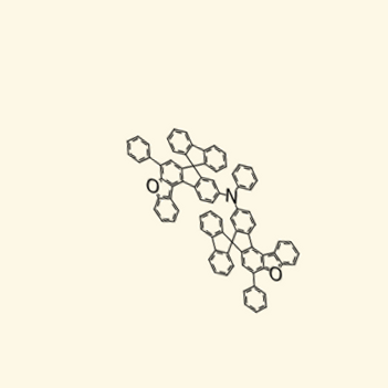 c1ccc(-c2cc3c(c4c2oc2ccccc24)-c2ccc(N(c4ccccc4)c4ccc5c(c4)C4(c6ccccc6-c6ccccc64)c4cc(-c6ccccc6)c6oc7ccccc7c6c4-5)cc2C32c3ccccc3-c3ccccc32)cc1